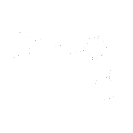 CCOC(=N)CCCOc1cccc(CN2CCOCC2)c1